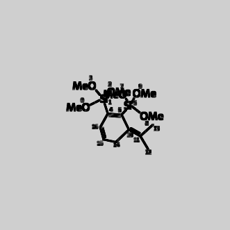 CO[Si](OC)(OC)C1=C([Si](OC)(OC)OC)C(=C(C)C)CC=C1